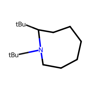 CC(C)(C)C1CCCCCCN1C(C)(C)C